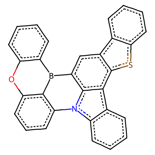 c1ccc2c(c1)Oc1cccc3c1B2c1cc2c4ccccc4sc2c2c4ccccc4n-3c12